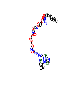 COC(=O)[C@H](CCC(C)(C)C)NC(=O)COc1cccc(Oc2ccc(OC3CCN(C(=O)COCCOCCOCc4cn(CC(=O)N5CCN(c6ncc(-c7nc8c(N[C@H](C)c9cc(C#N)ccc9F)c(Cl)c(C)nc8cc7F)cn6)C[C@H]5C)nn4)CC3)cn2)c1